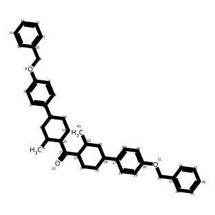 CC1CC(c2ccc(OCc3ccccc3)cc2)CCC1C(=O)C1CCC(c2ccc(OCc3ccccc3)cc2)CC1C